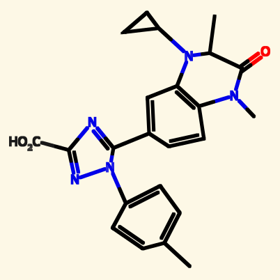 Cc1ccc(-n2nc(C(=O)O)nc2-c2ccc3c(c2)N(C2CC2)C(C)C(=O)N3C)cc1